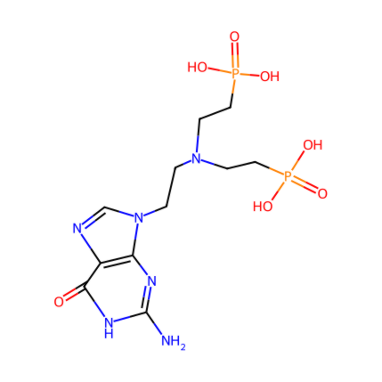 Nc1nc2c(ncn2CCN(CCP(=O)(O)O)CCP(=O)(O)O)c(=O)[nH]1